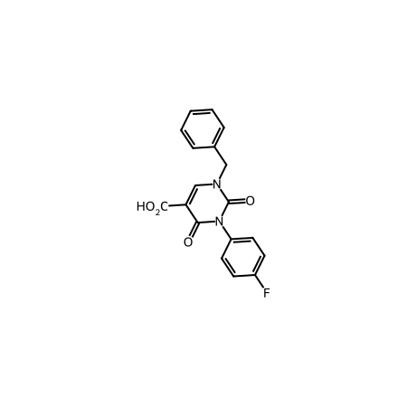 O=C(O)c1cn(Cc2ccccc2)c(=O)n(-c2ccc(F)cc2)c1=O